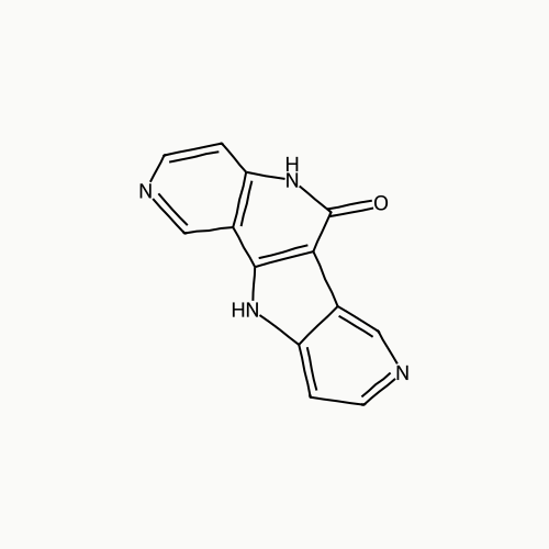 O=c1[nH]c2ccncc2c2[nH]c3ccncc3c12